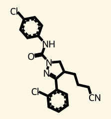 N#CCCCC1CN(C(=O)Nc2ccc(Cl)cc2)N=C1c1ccccc1Cl